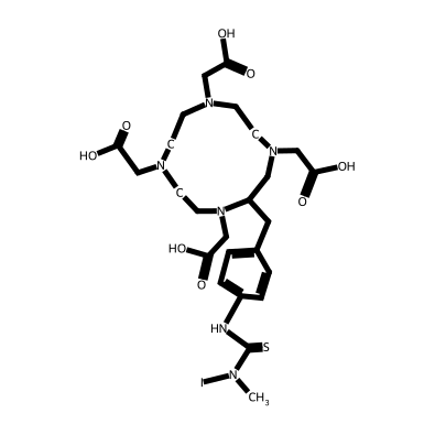 CN(I)C(=S)Nc1ccc(CC2CN(CC(=O)O)CCN(CC(=O)O)CCN(CC(=O)O)CCN2CC(=O)O)cc1